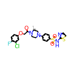 C[C@@H]1CN(c2ccc(S(=O)(=O)Nc3nccs3)cc2)CCN1C(=O)COc1ccc(F)c(Cl)c1